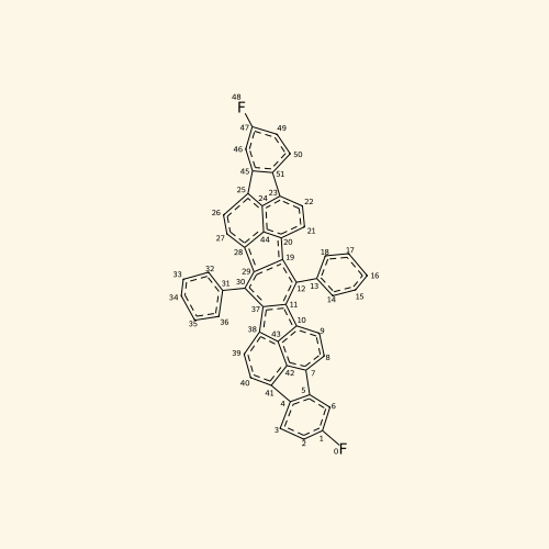 Fc1ccc2c(c1)-c1ccc3c4c(-c5ccccc5)c5c6ccc7c8c(ccc(c5c(-c5ccccc5)c4c4ccc-2c1c43)c86)-c1cc(F)ccc1-7